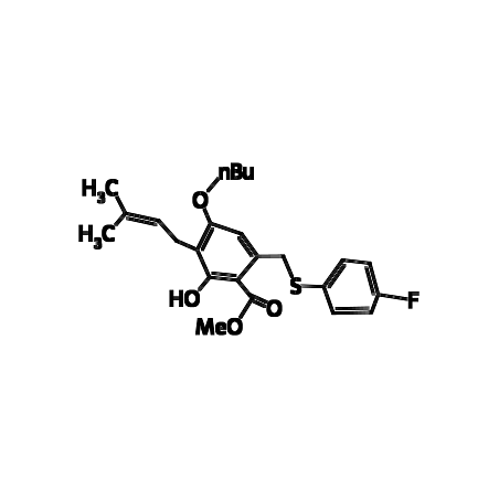 CCCCOc1cc(CSc2ccc(F)cc2)c(C(=O)OC)c(O)c1CC=C(C)C